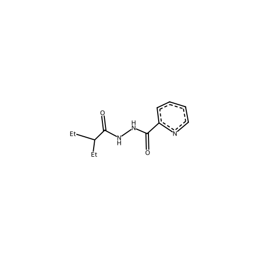 CCC(CC)C(=O)NNC(=O)c1ccccn1